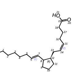 CCCCCC/C=C/C1CCC[C@@H]1C/C=C\CCCC(=O)O